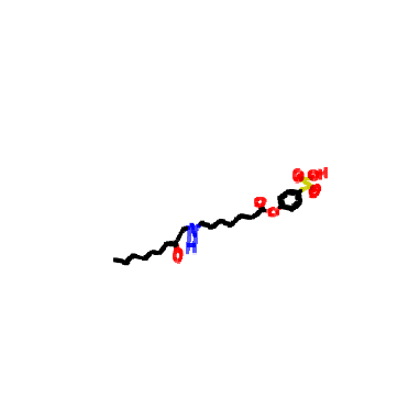 CCCCCCCC(=O)CNCCCCCCC(=O)Oc1ccc(S(=O)(=O)O)cc1